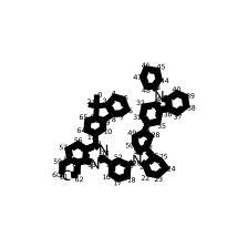 CC1(C)c2ccccc2-c2cc(-c3nc(-c4cccc(-n5c6ccccc6c6cc(-c7ccc8c(c7)c7ccccc7n8-c7ccccc7)ccc65)c4)nc4c3ccc3ccccc34)ccc21